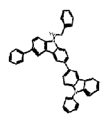 c1ccc(CNn2c3ccc(-c4ccccc4)cc3c3cc(-c4ccc5c(c4)c4ccccc4n5-c4ccccc4)ccc32)cc1